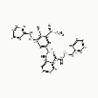 NC(=O)c1cc(CNc2ccccc2C(=O)NOCc2ccccc2)cc(OCc2ccccc2)c1F